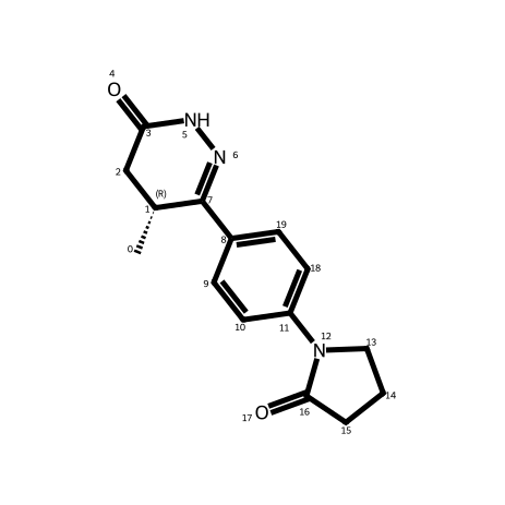 C[C@@H]1CC(=O)NN=C1c1ccc(N2CCCC2=O)cc1